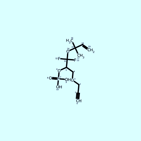 C#CCOCC(OP(=O)(O)O)C(F)(F)OC(C)(C)C=C